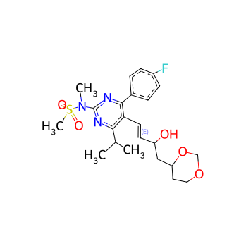 CC(C)c1nc(N(C)S(C)(=O)=O)nc(-c2ccc(F)cc2)c1/C=C/C(O)CC1CCOCO1